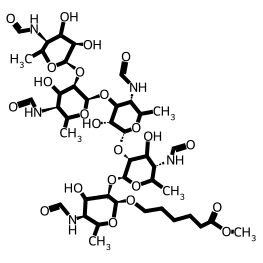 COC(=O)CCCCCO[C@H]1OC(C)[C@@H](NC=O)C(O)[C@H]1O[C@H]1OC(C)[C@@H](NC=O)C(O)[C@H]1O[C@H]1OC(C)[C@@H](NC=O)C(O[C@H]2OC(C)[C@@H](NC=O)C(O)[C@H]2O[C@H]2OC(C)[C@@H](NC=O)C(O)[C@H]2O)[C@H]1O